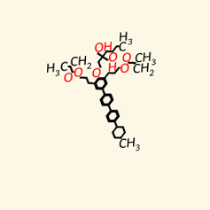 C=C(C)C(=O)OCCCc1cc(-c2ccc(-c3ccc(C4CCC(C)CC4)cc3)cc2)cc(CCCOC(=O)C(=C)C)c1OCCC(CO)(CO)CCCC